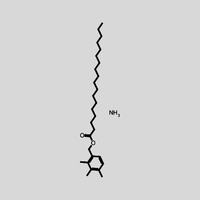 CCCCCCCCCCCCCCCCCC(=O)OCc1ccc(C)c(C)c1C.N